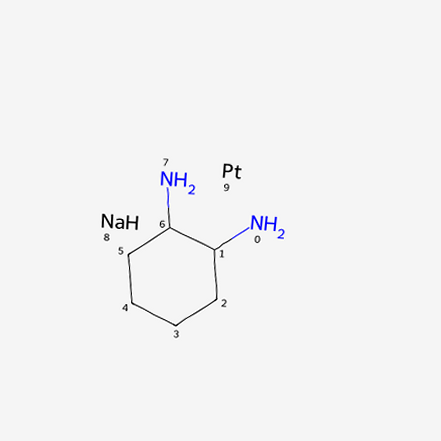 NC1CCCCC1N.[NaH].[Pt]